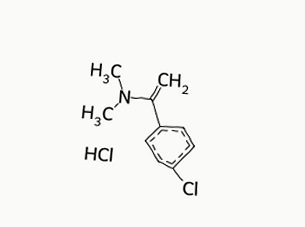 C=C(c1ccc(Cl)cc1)N(C)C.Cl